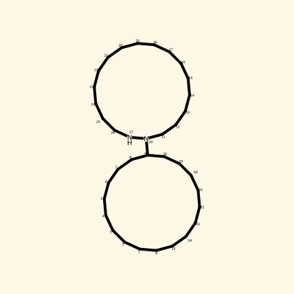 C1CCCCCCCCC(N2CCCCCCCCCCCCCCCCN2)CCCCCCCC1